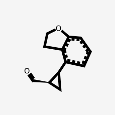 O=C[C@@H]1CC1c1cccc2c1CCO2